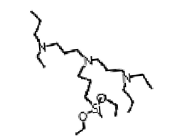 CCCN(CC)CCCN(CCCN(CC)CCC)CCC[Si](C)(OCC)OCC